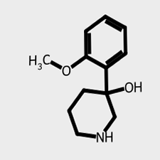 COc1ccccc1C1(O)CCCNC1